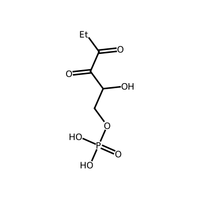 CCC(=O)C(=O)C(O)COP(=O)(O)O